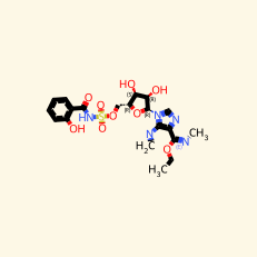 C=Nc1c(/C(=N\C)OCC)ncn1[C@@H]1O[C@H](COS(=O)(=O)NC(=O)c2ccccc2O)[C@@H](O)[C@H]1O